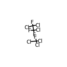 FC(Cl)(Cl)Cl.FC(F)(Cl)C(F)(Cl)Cl